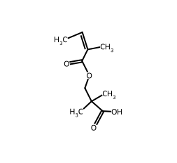 CC=C(C)C(=O)OCC(C)(C)C(=O)O